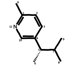 Cc1ccc([C@@H](C)C(C)C)cn1